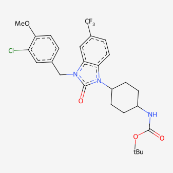 COc1ccc(Cn2c(=O)n(C3CCC(NC(=O)OC(C)(C)C)CC3)c3ccc(C(F)(F)F)cc32)cc1Cl